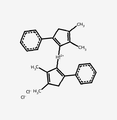 CC1=C(C)[C]([Hf+2][C]2=C(c3ccccc3)CC(C)=C2C)=C(c2ccccc2)C1.[Cl-].[Cl-]